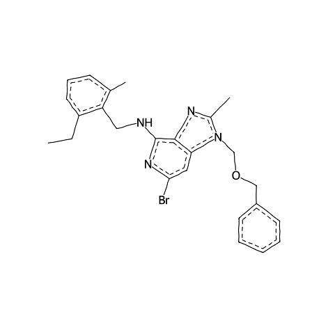 CCc1cccc(C)c1CNc1nc(Br)cc2c1nc(C)n2COCc1ccccc1